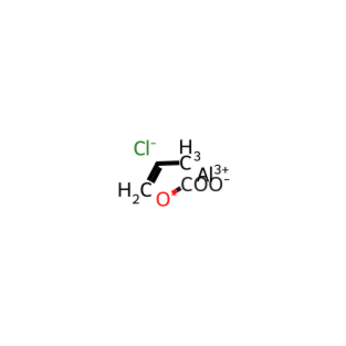 C=CC.O=C([O-])[O-].[Al+3].[Cl-]